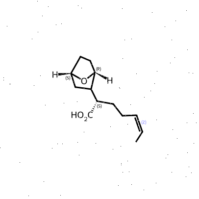 C/C=C\CC[C@H](C(=O)O)C1C[C@@H]2CC[C@H]1O2